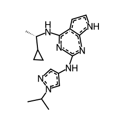 CC(C)n1cc(Nc2nc(N[C@@H](C)C3CC3)c3cc[nH]c3n2)cn1